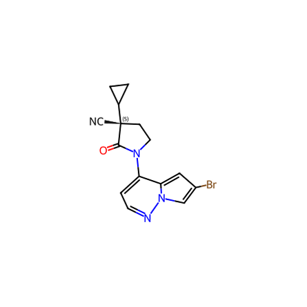 N#C[C@@]1(C2CC2)CCN(c2ccnn3cc(Br)cc23)C1=O